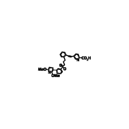 COc1ccc(-c2cccc(S(=O)(=O)CCCc3ccccc3C#Cc3ccc(C(=O)O)nc3)c2)c(OC)n1